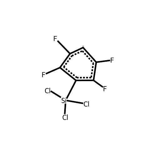 Fc1[c]c(F)c(F)c([Si](Cl)(Cl)Cl)c1F